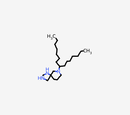 CCCCCCCC(CCCCCCC)N1CCCC2(CNCN2)C1